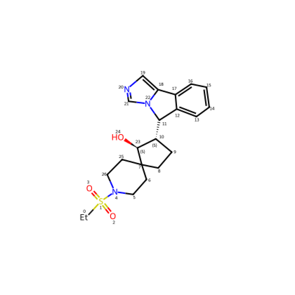 CCS(=O)(=O)N1CCC2(CC[C@@H](C3c4ccccc4-c4cncn43)[C@@H]2O)CC1